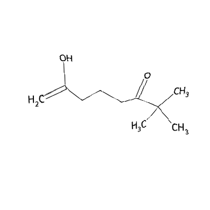 C=C(O)CCCC(=O)C(C)(C)C